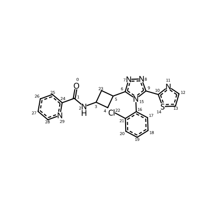 O=C(NC1CC(c2nnc(-c3nccs3)n2-c2ccccc2Cl)C1)c1ccccn1